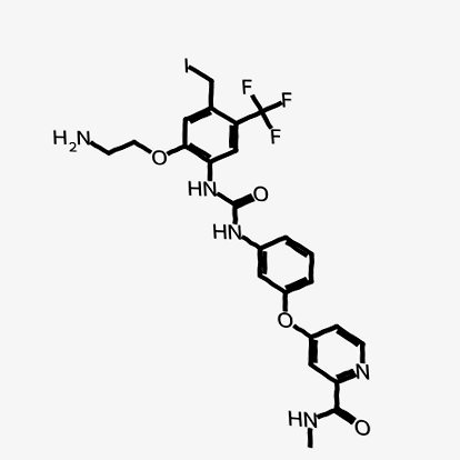 CNC(=O)c1cc(Oc2cccc(NC(=O)Nc3cc(C(F)(F)F)c(CI)cc3OCCN)c2)ccn1